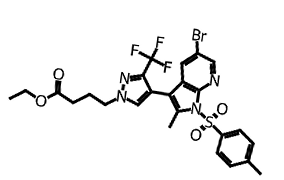 CCOC(=O)CCCn1cc(-c2c(C)n(S(=O)(=O)c3ccc(C)cc3)c3ncc(Br)cc23)c(C(F)(F)F)n1